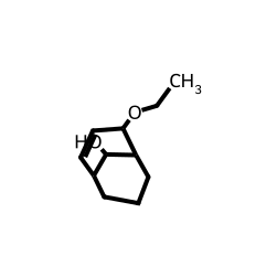 CCOC1C=CC2CCCC1C2O